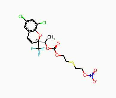 CC(OC(=O)OCCSCCO[N+](=O)[O-])[C@]1(C(F)(F)F)C=Cc2cc(Cl)cc(Cl)c2O1